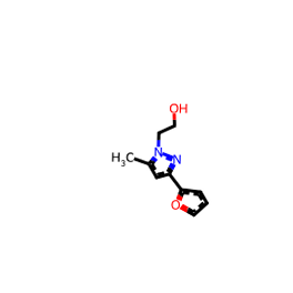 Cc1cc(-c2ccco2)nn1CCO